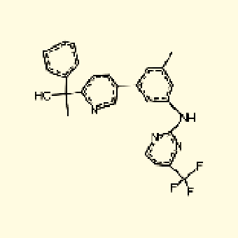 Cc1cc(Nc2nccc(C(F)(F)F)n2)cc(-c2ccc(C(C)(O)c3ccccc3)nc2)c1